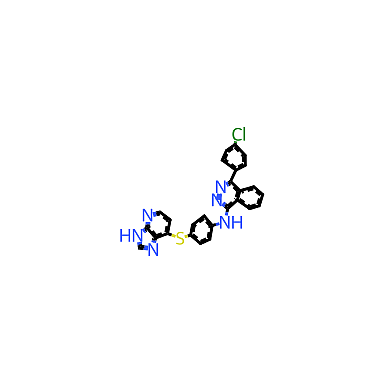 Clc1ccc(-c2nnc(Nc3ccc(Sc4ccnc5[nH]cnc45)cc3)c3ccccc23)cc1